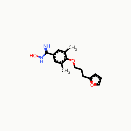 Cc1cc(C(=N)NO)cc(C)c1OCCCc1ccco1